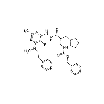 Cc1nc(NNC(=O)[C@@H](CNC(=O)OCc2ccccc2)CC2CCCC2)c(F)c(N(C)CCc2ccncc2)n1